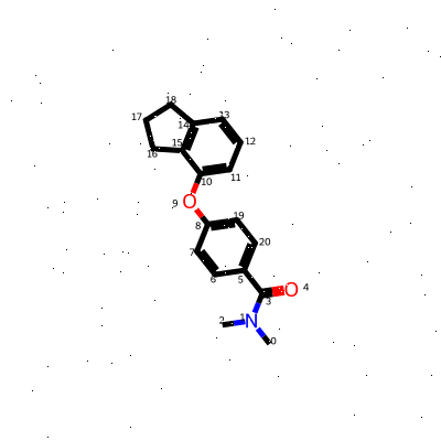 CN(C)C(=O)c1ccc(Oc2cccc3c2CCC3)cc1